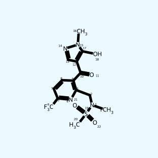 CN(Cc1nc(C(F)(F)F)ccc1C(=O)c1cnn(C)c1O)S(C)(=O)=O